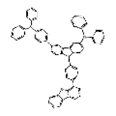 c1ccc(N(c2ccccc2)c2ccc(-c3ccc4c(c3)c3cc(N(c5ccccc5)c5ccccc5)ccc3n4-c3ccc(-c4cccc5c4sc4ccccc45)cc3)cc2)cc1